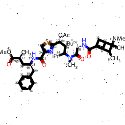 CC[C@H](C)[C@H](NC(=O)C1=C2C(C)C(C)(NC)C2C1)C(=O)N(C)C(C[C@@H](OC(C)=O)c1nc(C(=O)N[C@@H](Cc2ccccc2)C[C@H](C)C(=O)OC)cs1)C(C)C